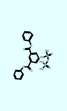 O=C(Oc1ccccc1)c1cccc(C(=O)Oc2ccccc2)c1.O=P(O)(O)OP(=O)(O)O